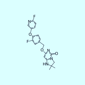 CC1(C)Cn2c(cc(OCc3ccc(Oc4ccc(F)nc4)c(F)c3)nc2=O)N1